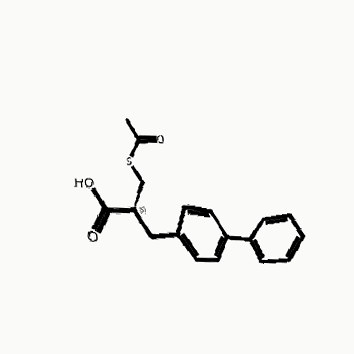 CC(=O)SC[C@@H](Cc1ccc(-c2ccccc2)cc1)C(=O)O